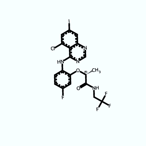 C[C@@H](Oc1cc(F)ccc1Nc1ncnc2cc(I)cc(Cl)c12)C(=O)NCC(F)(F)F